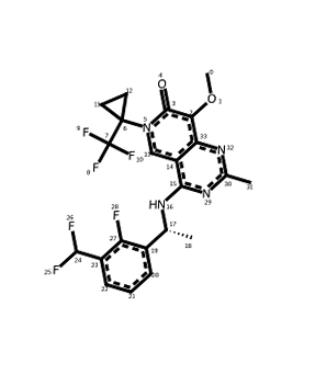 COc1c(=O)n(C2(C(F)(F)F)CC2)cc2c(N[C@H](C)c3cccc(C(F)F)c3F)nc(C)nc12